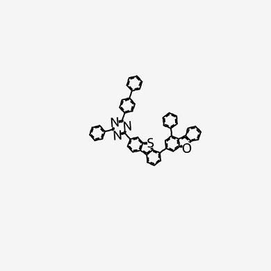 c1ccc(-c2ccc(-c3nc(-c4ccccc4)nc(-c4ccc5c(c4)sc4c(-c6cc(-c7ccccc7)c7c(c6)oc6ccccc67)cccc45)n3)cc2)cc1